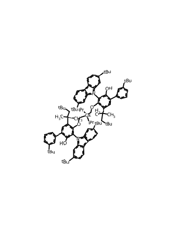 C[CH](C)[Ge]([CH2]Oc1c(C(C)(C)CC(C)(C)C)cc(-c2cccc(C(C)(C)C)c2)c(O)c1-n1c2cc(C(C)(C)C)ccc2c2ccc(C(C)(C)C)cc21)([CH2]Oc1c(C(C)(C)CC(C)(C)C)cc(-c2cccc(C(C)(C)C)c2)c(O)c1-n1c2cc(C(C)(C)C)ccc2c2ccc(C(C)(C)C)cc21)[CH](C)C